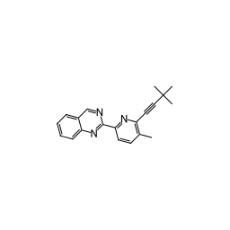 Cc1ccc(-c2ncc3ccccc3n2)nc1C#CC(C)(C)C